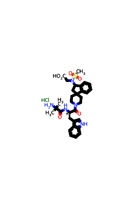 CC(C)(N)C(=O)N[C@H](Cc1c[nH]c2ccccc12)C(=O)N1CCC2(CC1)CC(N(CC(=O)O)S(C)(=O)=O)c1ccccc12.Cl